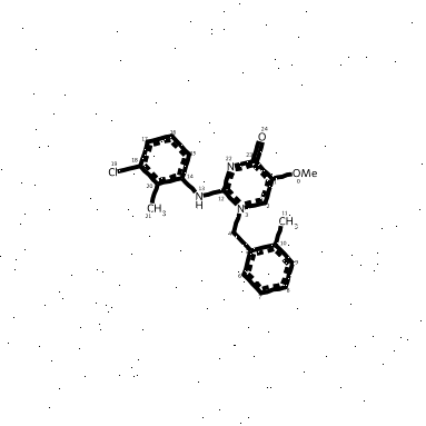 COc1cn(Cc2ccccc2C)c(Nc2cccc(Cl)c2C)nc1=O